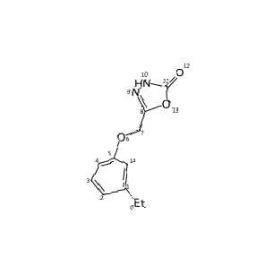 CCc1cccc(OCc2n[nH]c(=O)o2)c1